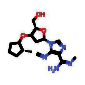 C=Nc1c(/C(N)=N\C)ncn1[C@H]1CC(OC2CCC[C@H]2C)[C@@H](CO)O1